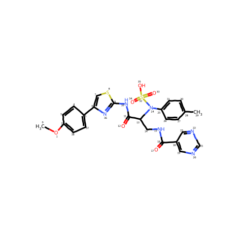 COc1ccc(-c2csc(NC(=O)C(CNC(=O)c3cncnc3)N(c3ccc(C)cc3)S(=O)(=O)O)n2)cc1